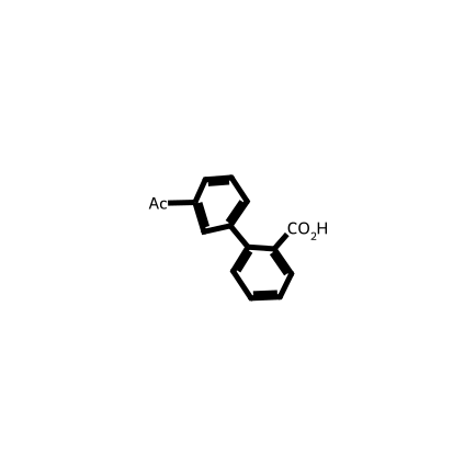 CC(=O)c1cccc(-c2ccccc2C(=O)O)c1